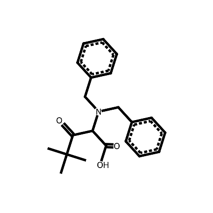 CC(C)(C)C(=O)C(C(=O)O)N(Cc1ccccc1)Cc1ccccc1